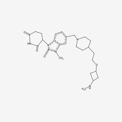 CNC1CC(OCCC2CCN(Cc3ccc4c(c3)n(C)c(=O)n4C3CCC(=O)NC3=O)CC2)C1